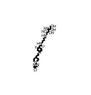 O=C(Cc1ccc(OCCCC2CCN(c3ncc(Cl)cn3)CC2)cc1F)NCCCCCNCC(O)C(O)C(O)C(O)CO